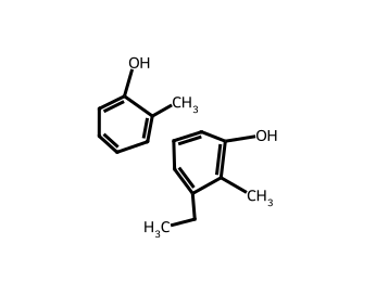 CCc1cccc(O)c1C.Cc1ccccc1O